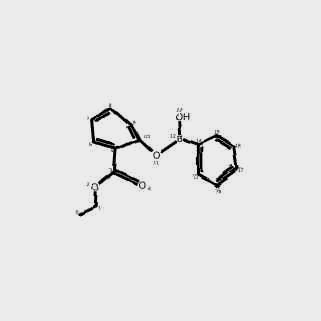 CCOC(=O)c1ccccc1OB(O)c1ccccc1